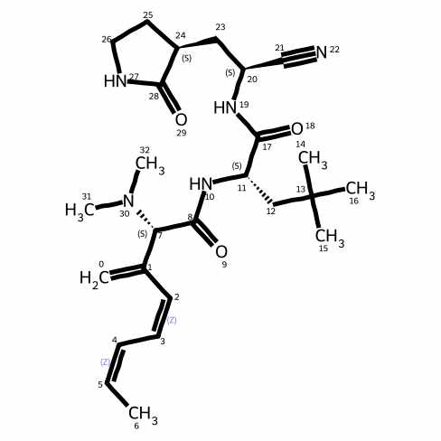 C=C(/C=C\C=C/C)[C@@H](C(=O)N[C@@H](CC(C)(C)C)C(=O)N[C@H](C#N)C[C@@H]1CCNC1=O)N(C)C